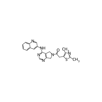 Cc1nc(C)c(CC(=O)N2Cc3ncnc(Nc4cnc5ccccc5c4)c3C2)s1